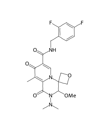 COC1N(N(C)C)C(=O)c2c(C)c(=O)c(C(=O)NCc3ccc(F)cc3F)cn2C12COC2